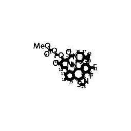 COC(=O)OCOc1c2n(ccc1=O)N(C1c3ccccc3-c3scnc3-c3c1ccc(F)c3F)C1CC3(CCN1C2=O)CC3